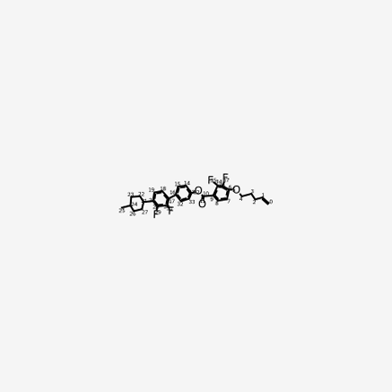 C=CCCCOc1ccc(C(=O)Oc2ccc(-c3ccc(C4CCC(C)CC4)c(F)c3F)cc2)c(F)c1F